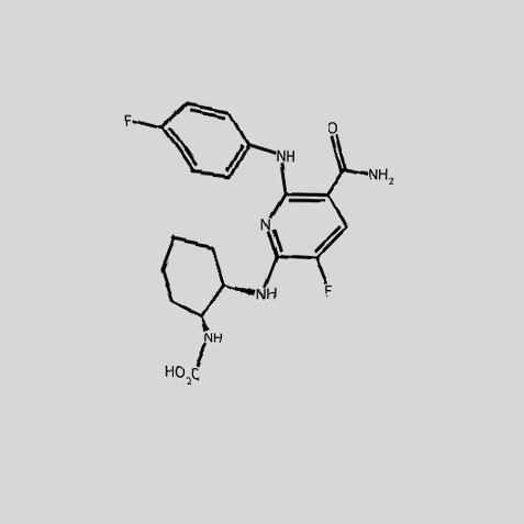 NC(=O)c1cc(F)c(N[C@@H]2CCCC[C@@H]2NC(=O)O)nc1Nc1ccc(F)cc1